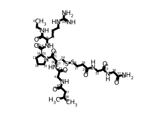 CCNC(=O)[C@@H](CCCNC(=N)N)NC(=O)[C@@H]1CCCN1C(=O)[C@H](CSSCCC(=O)NCC(=O)NCC(N)=O)NC(=O)CNC(=O)CC(C)C